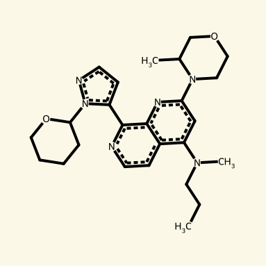 CCCN(C)c1cc(N2CCOCC2C)nc2c(-c3ccnn3C3CCCCO3)nccc12